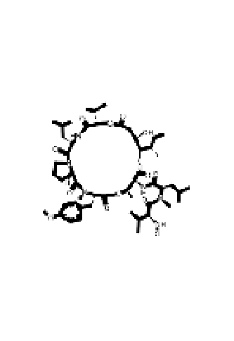 CC[C@H](C)[C@H]1NC(=O)[C@@H](NC(=O)[C@@H](CC(C)C)N(C)C(=O)[C@@H](NCl)C(C)C)[C@@H](C)OC(=O)[C@H](Cc2ccc(OC)cc2)N(C)C(=O)[C@@H]2CCCN2C(=O)[C@H](CC(C)C)NC(=O)[C@H](C(C)C)OC(=O)C[C@@H]1O